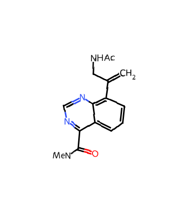 C=C(CNC(C)=O)c1cccc2c(C(=O)NC)ncnc12